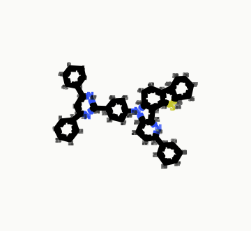 c1ccc(-c2cc(-c3ccccc3)nc(-c3ccc(-n4c5ccc(-c6ccccc6)nc5c5c6sc7ccccc7c6ccc54)cc3)n2)cc1